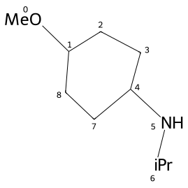 COC1CCC(NC(C)C)CC1